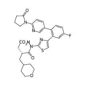 CN(C(=O)[C@@H](CC(=O)O)CC1CCOCC1)c1nc(-c2cc(F)ccc2-c2ccc(N3CCCC3=O)nc2)cs1